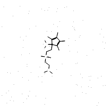 CC1=C(C)[C](CC[N+](C)(C)CCN(C)C)([Ti]([Cl])[Cl])C(C)=C1C